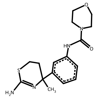 CC1(c2cccc(NC(=O)N3CCOCC3)c2)CCSC(N)=N1